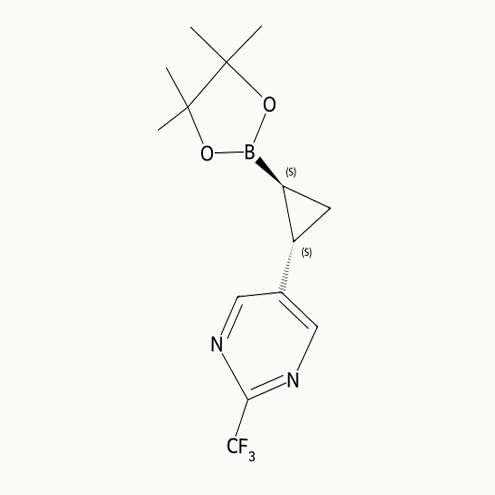 CC1(C)OB([C@H]2C[C@@H]2c2cnc(C(F)(F)F)nc2)OC1(C)C